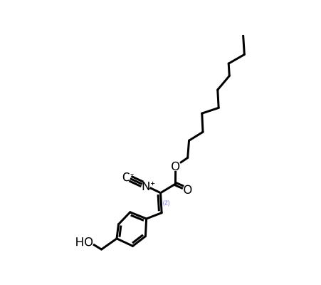 [C-]#[N+]/C(=C\c1ccc(CO)cc1)C(=O)OCCCCCCCCCC